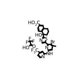 Cc1cc(Nc2cc(C(F)(F)F)ccn2)nc(-c2cnc([C@@]3(O)CCCc4cc(C(=O)O)ccc43)s2)c1Br.O=C(O)C(F)(F)F